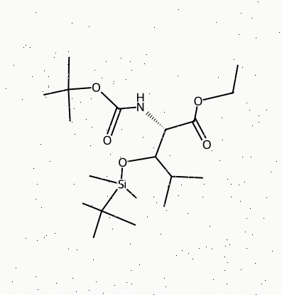 CCOC(=O)[C@@H](NC(=O)OC(C)(C)C)C(O[Si](C)(C)C(C)(C)C)C(C)C